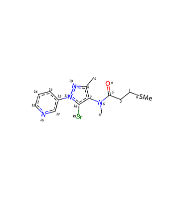 CSCCC(=O)N(C)c1c(C)nn(-c2cccnc2)c1Br